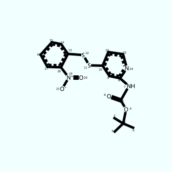 CC(C)(C)OC(=O)Nc1cc(SSc2ccccc2[N+](=O)[O-])ccn1